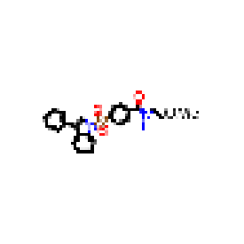 COCCNC(=O)c1ccc(S(=O)(=O)n2cc(-c3ccccc3)c3ccccc32)cc1